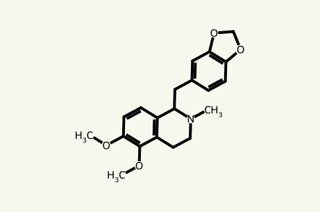 COc1ccc2c(c1OC)CCN(C)C2Cc1ccc2c(c1)OCO2